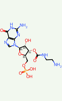 NCCNC(=O)O[C@H]1[C@@H](O)[C@H](n2cnc3c(=O)[nH]c(N)nc32)O[C@@H]1COP(=O)(O)O